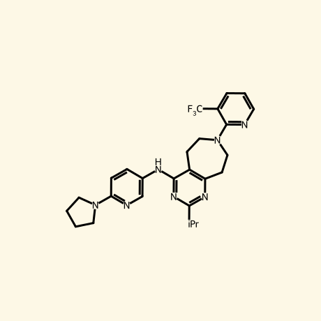 CC(C)c1nc2c(c(Nc3ccc(N4CCCC4)nc3)n1)CCN(c1ncccc1C(F)(F)F)CC2